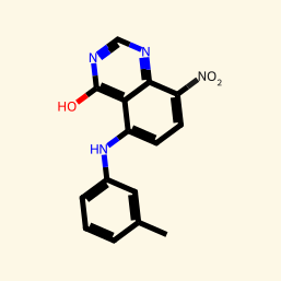 Cc1cccc(Nc2ccc([N+](=O)[O-])c3ncnc(O)c23)c1